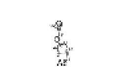 CC(=O)Cc1ccc(OCC2CO2)cc1